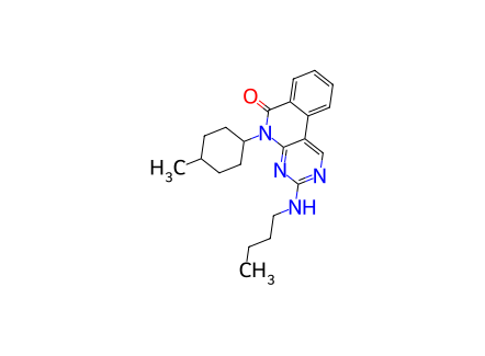 CCCCNc1ncc2c3ccccc3c(=O)n(C3CCC(C)CC3)c2n1